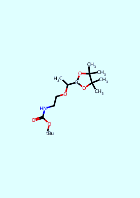 CC(OCCNC(=O)OC(C)(C)C)B1OC(C)(C)C(C)(C)O1